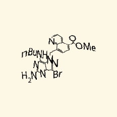 CCCCNc1nc(N)nc2c(Br)nn(Cc3ccc(C(=O)OC)c4cccnc34)c12